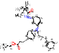 CCOC(=O)CCc1ccc2c(c1)c(CCc1ccccc1)cn2-c1cccc(NC(=O)C(C)(C)C)c1